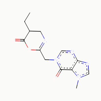 CCC1CN=C(Cn2cnc3ncn(C)c3c2=O)OC1=O